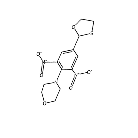 O=[N+]([O-])c1cc(C2OCCS2)cc([N+](=O)[O-])c1N1CCOCC1